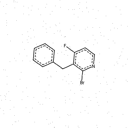 Fc1ccnc(Br)c1Cc1ccccc1